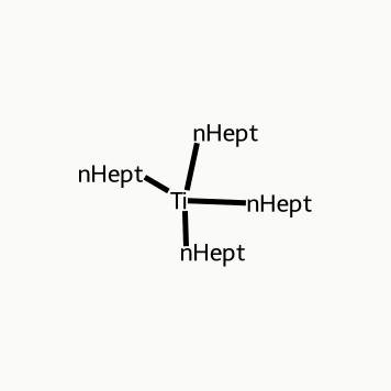 CCCCCC[CH2][Ti]([CH2]CCCCCC)([CH2]CCCCCC)[CH2]CCCCCC